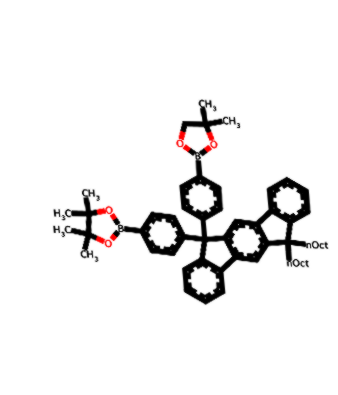 CCCCCCCCC1(CCCCCCCC)c2ccccc2-c2cc3c(cc21)-c1ccccc1C3(c1ccc(B2OCC(C)(C)O2)cc1)c1ccc(B2OC(C)(C)C(C)(C)O2)cc1